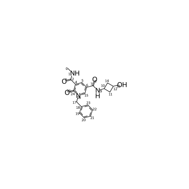 CNC(=O)c1cc(C(=O)NC2CC(O)C2)cn(Cc2ccccc2)c1=O